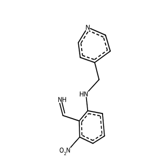 N=Cc1c(NCc2ccncc2)cccc1[N+](=O)[O-]